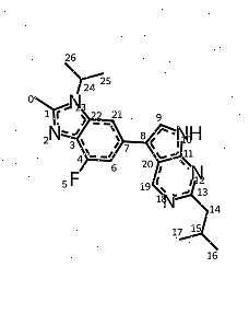 Cc1nc2c(F)cc(-c3c[nH]c4nc(CC(C)C)ncc34)cc2n1C(C)C